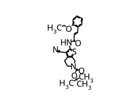 CCOc1ccccc1C=CC(=O)Nc1sc2c(c1C#N)CCN(C(=O)OC(C)(C)C)C2